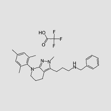 Cc1cc(C)c(N2CCCc3c2nn(C)c3CCCNCc2ccccc2)c(C)c1.O=C(O)C(F)(F)F